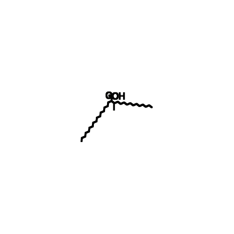 CCCCCCCCCCCCCCCCC(C(=O)O)C(I)CCCCCCCCCCCC